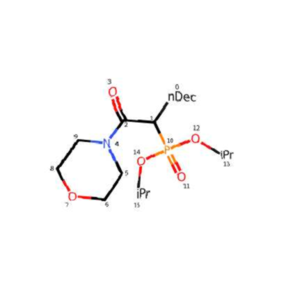 CCCCCCCCCCC(C(=O)N1CCOCC1)P(=O)(OC(C)C)OC(C)C